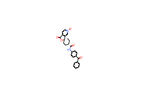 O=C(c1ccccc1)c1ccc(NC(=O)[C@H]2CC[C@]3(CC2)OC(=O)c2cc[n+]([O-])cc23)cc1